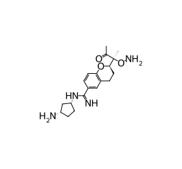 CC(=O)[C@@](C)(ON)[C@H]1CCc2cc(C(=N)N[C@@H]3CC[C@H](N)C3)ccc2O1